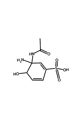 CC(=O)NC1(N)C=C(S(=O)(=O)O)C=CC1O